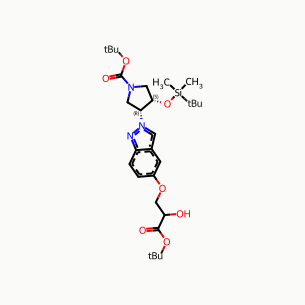 CC(C)(C)OC(=O)C(O)COc1ccc2nn([C@@H]3CN(C(=O)OC(C)(C)C)C[C@@H]3O[Si](C)(C)C(C)(C)C)cc2c1